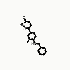 Cc1cc(-c2ccc(=O)[nH]n2)ccc1NCc1ccccc1